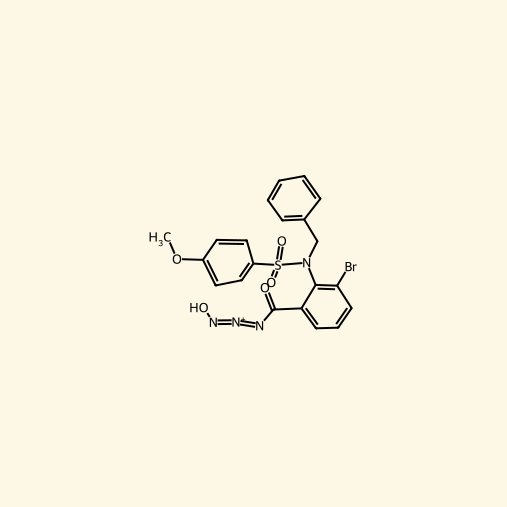 COc1ccc(S(=O)(=O)N(Cc2ccccc2)c2c(Br)cccc2C(=O)N=[N+]=NO)cc1